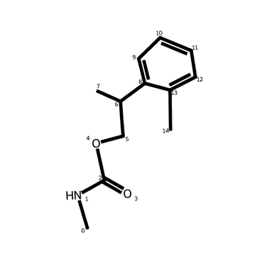 CNC(=O)OCC(C)c1ccccc1C